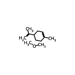 C=C(C)C1CC=C(C)CC1.COC